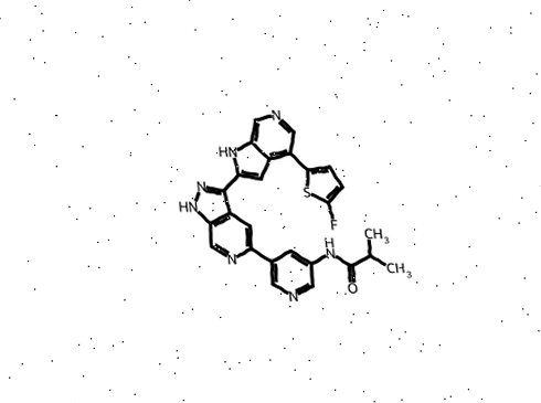 CC(C)C(=O)Nc1cncc(-c2cc3c(-c4cc5c(-c6ccc(F)s6)cncc5[nH]4)n[nH]c3cn2)c1